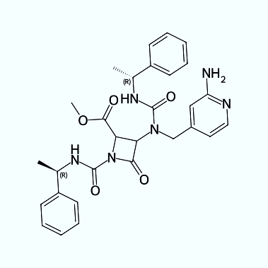 COC(=O)C1C(N(Cc2ccnc(N)c2)C(=O)N[C@H](C)c2ccccc2)C(=O)N1C(=O)N[C@H](C)c1ccccc1